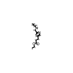 CCOC(=O)CCc1cnc(CN=[N+]=[N-])s1